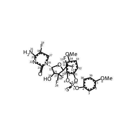 COc1ccc(OP(=S)(OC[C@@]2(C(F)F)O[C@@H](n3cc(F)c(N)nc3=O)C(O)C2(F)F)Oc2ccc(OC)cc2)cc1